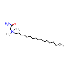 CCCCCCCCCCCCCCCC[N+](C)(C)CC(N)=O